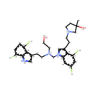 CC1(O)CCN(CCc2cn(CN(CCO)CCc3c[nH]c4c(F)ccc(F)c34)c3cc(F)cc(F)c23)C1